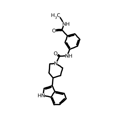 CNC(=O)c1cccc(NC(=O)N2CCC(c3c[nH]c4ccccc34)CC2)c1